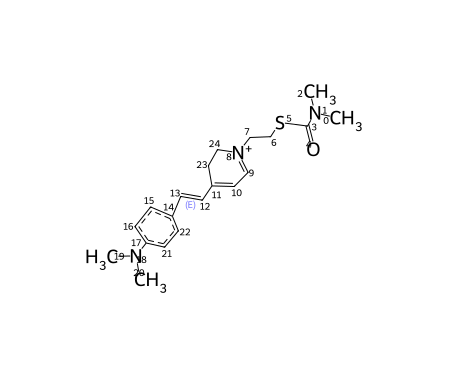 CN(C)C(=O)SCC[N+]1=CC=C(/C=C/c2ccc(N(C)C)cc2)CC1